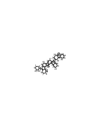 c1ccc(-n2c3cccnc3c3c4sc5c(ccc6c5c5ccccc5n6-c5ccc6oc7ccccc7c6c5)c4ccc32)cc1